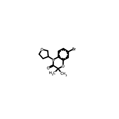 CC1(C)Oc2cc(Br)ccc2N(C2CCOC2)C1=O